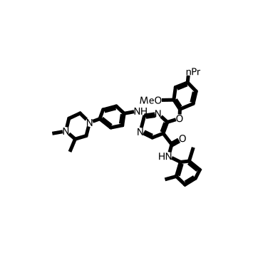 CCCc1ccc(Oc2nc(Nc3ccc(N4CCN(C)C(C)C4)cc3)ncc2C(=O)Nc2c(C)cccc2C)c(OC)c1